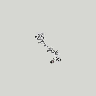 O=C(NCCCCNCC(O)c1ccc(O)c2[nH]c(=O)ccc12)c1ccc(C(=O)N2CCC(C(=O)OC3CN4CCC3CC4)(c3ccccc3)CC2)cc1